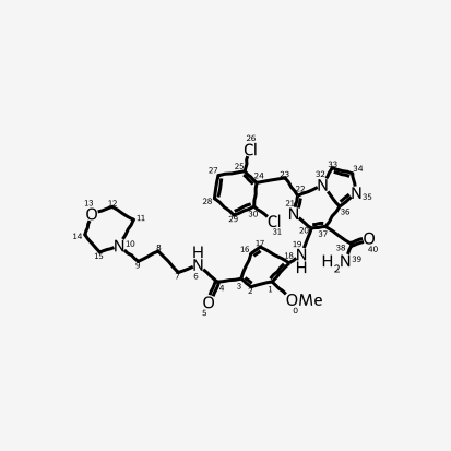 COc1cc(C(=O)NCCCN2CCOCC2)ccc1Nc1nc(Cc2c(Cl)cccc2Cl)n2ccnc2c1C(N)=O